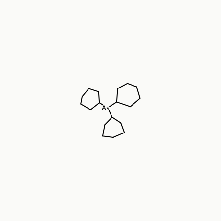 C1CCC([As](C2CCCCC2)C2CCCCC2)CC1